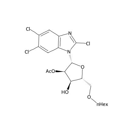 CCCCCCOC[C@H]1O[C@@H](n2c(Cl)nc3cc(Cl)c(Cl)cc32)[C@H](OC(C)=O)[C@@H]1O